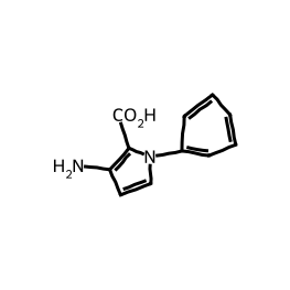 Nc1ccn(-c2ccccc2)c1C(=O)O